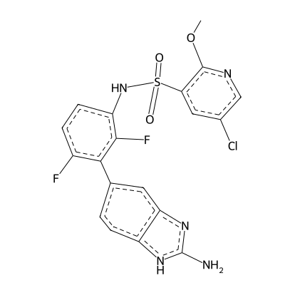 COc1ncc(Cl)cc1S(=O)(=O)Nc1ccc(F)c(-c2ccc3[nH]c(N)nc3c2)c1F